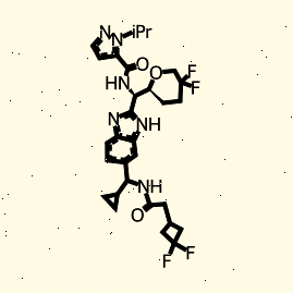 CC(C)n1nccc1C(=O)N[C@H](c1nc2ccc(C(NC(=O)CC3CC(F)(F)C3)C3CC3)cc2[nH]1)[C@@H]1CCC(F)(F)CO1